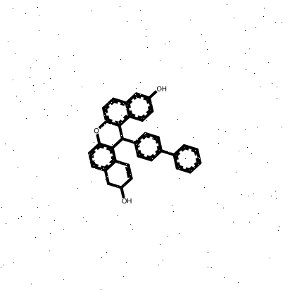 Oc1ccc2c3c(ccc2c1)Oc1ccc2c(c1C3c1ccc(-c3ccccc3)cc1)C=CC(O)C2